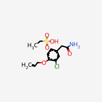 C=CCOc1ccc(CC(N)=O)cc1Cl.CCS(=O)(=O)O